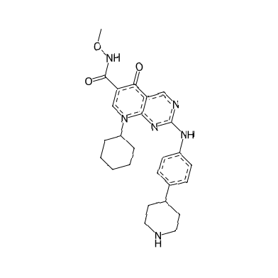 CONC(=O)c1cn(C2CCCCC2)c2nc(Nc3ccc(C4CCNCC4)cc3)ncc2c1=O